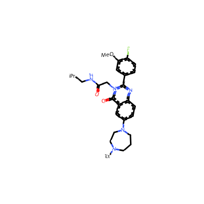 CCN1CCCN(c2ccc3nc(-c4ccc(F)c(OC)c4)n(CC(=O)NCC(C)C)c(=O)c3c2)CC1